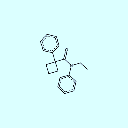 CCN(C(=O)C1(c2ccccc2)CCC1)c1ccccc1